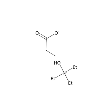 CCC(=O)[O-].CC[N+](O)(CC)CC